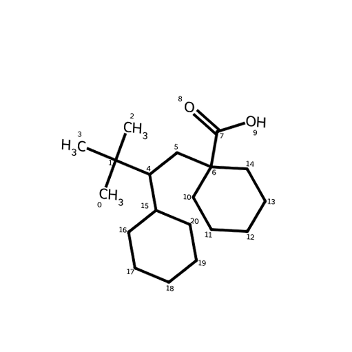 CC(C)(C)C(CC1(C(=O)O)CCCCC1)C1CCCCC1